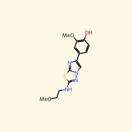 COCCNc1nn2cc(-c3ccc(O)c(OC)c3)nc2s1